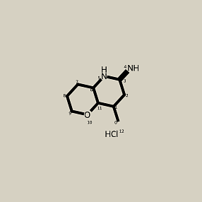 CC1CC(=N)NC2CCCOC12.Cl